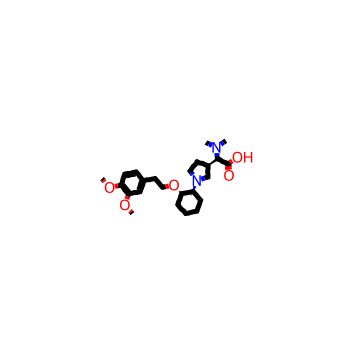 COc1ccc(CCO[C@H]2CCCC[C@@H]2N2CC[C@@H](C(C(=O)O)N(C)C)C2)cc1OC